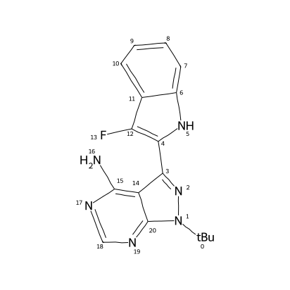 CC(C)(C)n1nc(-c2[nH]c3ccccc3c2F)c2c(N)ncnc21